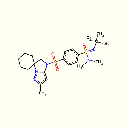 Cc1cc2n(n1)C1(CCCCC1)CN2S(=O)(=O)c1ccc(S(=O)(=N[Si](C)(C)C(C)(C)C)N(C)C)cc1